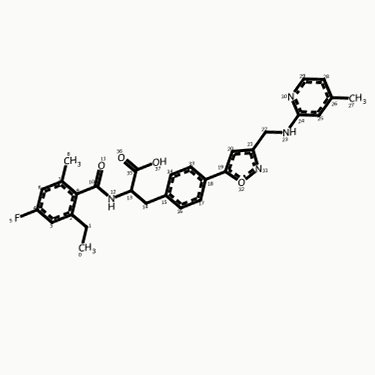 CCc1cc(F)cc(C)c1C(=O)NC(Cc1ccc(-c2cc(CNc3cc(C)ccn3)no2)cc1)C(=O)O